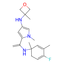 C=C(NC1(C)C=C(C)C(F)=CC1)c1cc(NC2(C)COC2)cn1C